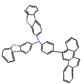 c1ccc2c(c1)ccc1c3ccccc3c(-c3ccc(N(c4ccc5c(c4)sc4ccccc45)c4ccc5c(c4)sc4ccccc45)cc3)cc21